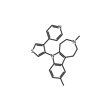 Cc1ccc2c(c1)c1c(n2-c2cscc2-c2ccncc2)CCN(C)CC1